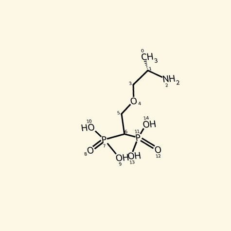 C[C@H](N)COCC(P(=O)(O)O)P(=O)(O)O